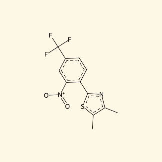 Cc1nc(-c2ccc(C(F)(F)F)cc2[N+](=O)[O-])sc1C